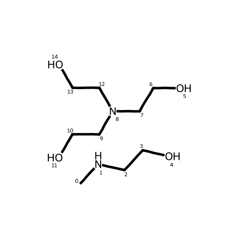 CNCCO.OCCN(CCO)CCO